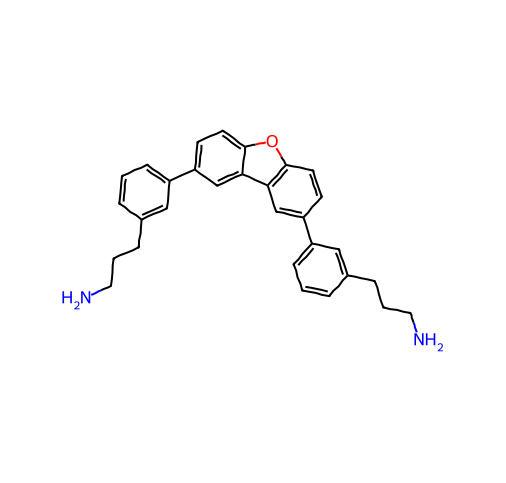 NCCCc1cccc(-c2ccc3oc4ccc(-c5cccc(CCCN)c5)cc4c3c2)c1